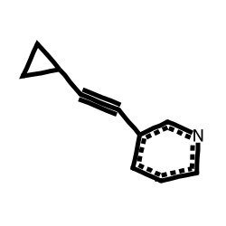 C(#CC1CC1)c1c[c]cnc1